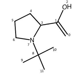 C=C(O)C1CCCN1C(C)(C)C